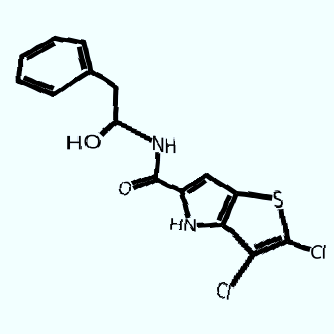 O=C(NC(O)Cc1ccccc1)c1cc2sc(Cl)c(Cl)c2[nH]1